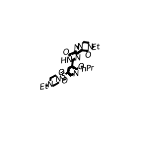 CCCOc1ncc(S(=O)(=O)N2CCN(CC)CC2)cc1-c1nc2c3n(nc2c(=O)[nH]1)CCN(CC)C3=O